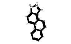 c1ccc2c(c1)ccc1c3cnoc3ccc21